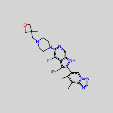 Cc1c(-c2[nH]c3cnc(N4CCN(CC5(C)COC5)CC4)c(F)c3c2C(C)C)cn2ncnc2c1C